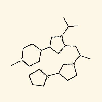 CC(CC1CC(N2CCN(C)CC2)CN1C(C)C)N1CCC(N2CCCC2)C1